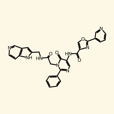 O=C(Cn1c(-c2ccccc2)ncc(NC(=O)c2coc(-c3cccnc3)n2)c1=O)NCc1cc2cnccc2[nH]1